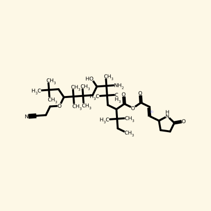 CCC(C)(C)C(CC(C)(C)C(C)(N)C(O)CC(C)(C)C(C)(C)C(CC(C)(C)C)OCCC#N)C(=O)OC(=O)/C=C/C1CCC(=O)N1